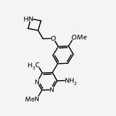 CNc1nc(C)c(-c2ccc(OC)c(OCC3CNC3)c2)c(N)n1